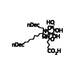 CCCCCCCCCCCCCCCCCC(=O)N(CCCCCCCCCCCC)[C@@H]1O[C@H](CO)[C@@H](O)[C@H](O)[C@H]1NC(=O)CCCC(=O)O